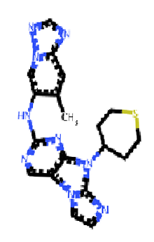 Cc1cc2ncnn2cc1Nc1ncc2c(n1)n(C1CCSCC1)c1nccn21